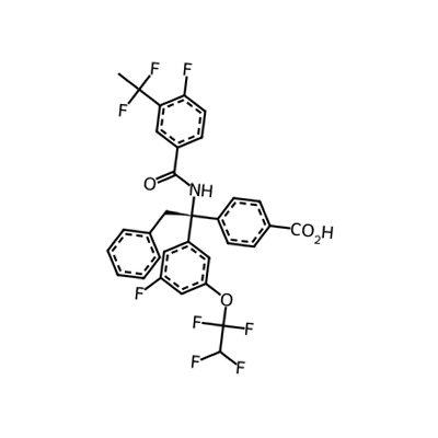 CC(F)(F)c1cc(C(=O)N[C@](Cc2ccccc2)(c2ccc(C(=O)O)cc2)c2cc(F)cc(OC(F)(F)C(F)F)c2)ccc1F